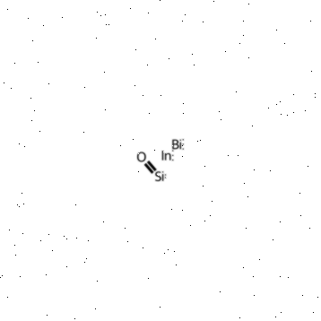 O=[Si].[Bi].[In]